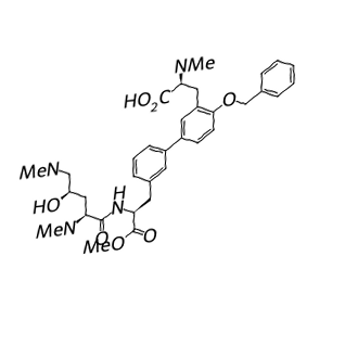 CNC[C@H](O)C[C@H](NC)C(=O)N[C@@H](Cc1cccc(-c2ccc(OCc3ccccc3)c(C[C@H](NC)C(=O)O)c2)c1)C(=O)OC